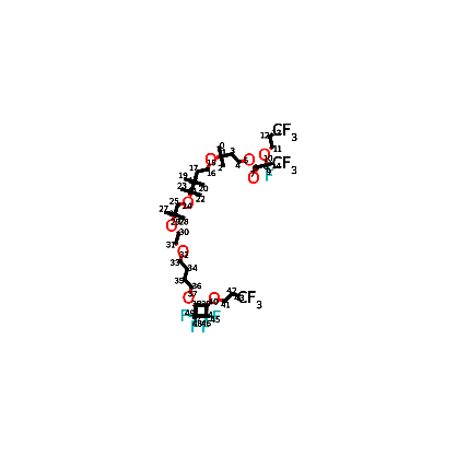 CC(C)(CCOC(=O)C(F)(OCCC(F)(F)F)C(F)(F)F)OCCC(C)(C)C(C)(C)OCC(C)(C)OCCOCCCCOC1C(OCCC(F)(F)F)C(F)(F)C1(F)F